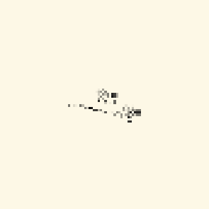 CCCCCCCCCCCCOP(=O)(O)O.O=P(O)(O)O